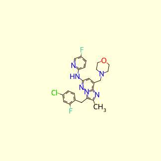 Cc1nc2c(CN3CCOCC3)cc(Nc3ccc(F)cn3)nn2c1Cc1ccc(Cl)cc1F